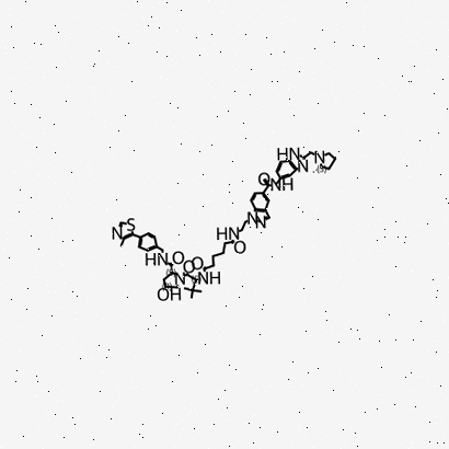 Cc1ncsc1-c1ccc(CNC(=O)[C@@H]2C[C@@H](O)CN2C(=O)[C@@H](NC(=O)CCCCC(=O)NCCn2ncc3cc(C(=O)Nc4ccc5[nH]c(CN6CCC[C@@H]6C)nc5c4)ccc32)C(C)(C)C)cc1